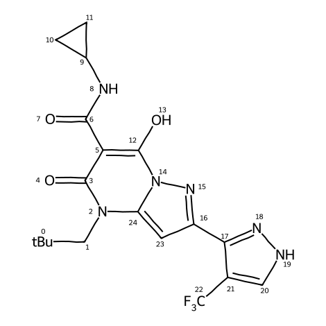 CC(C)(C)Cn1c(=O)c(C(=O)NC2CC2)c(O)n2nc(-c3n[nH]cc3C(F)(F)F)cc12